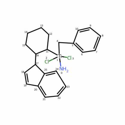 [NH2][Ti]([Cl])([Cl])([CH2]c1ccccc1)[CH]1CCCCC1C1C=Cc2ccccc21